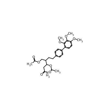 COc1ccc(-c2ccc(CCC(COC(C)=O)C(CC(N)=O)OC(C)=O)cc2)c(OC)c1OC